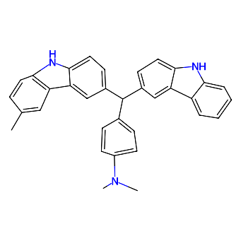 Cc1ccc2[nH]c3ccc(C(c4ccc(N(C)C)cc4)c4ccc5[nH]c6ccccc6c5c4)cc3c2c1